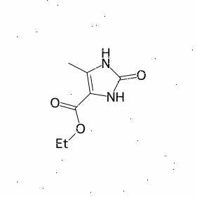 CCOC(=O)c1[nH]c(=O)[nH]c1C